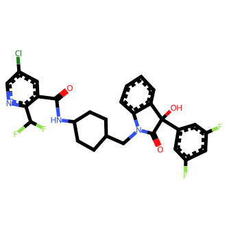 O=C(NC1CCC(CN2C(=O)C(O)(c3cc(F)cc(F)c3)c3ccccc32)CC1)c1cc(Cl)cnc1C(F)F